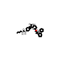 CCCCNC(=O)NC1CCC2(CC1)CC1(C2)C(=O)Nc2ccc(C(C)O[Si](c3ccccc3)(c3ccccc3)C(C)(C)C)nc21